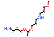 COCCCNCCCOC(C)OCCCN